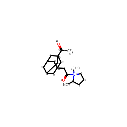 N#CC1CCC[N+]1(C=O)C(=O)CC12CC3CC(C1)CC(C(=O)C(F)(F)F)(C3)C2